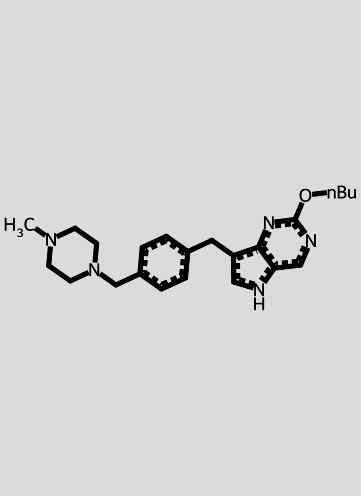 CCCCOc1ncc2[nH]cc(Cc3ccc(CN4CCN(C)CC4)cc3)c2n1